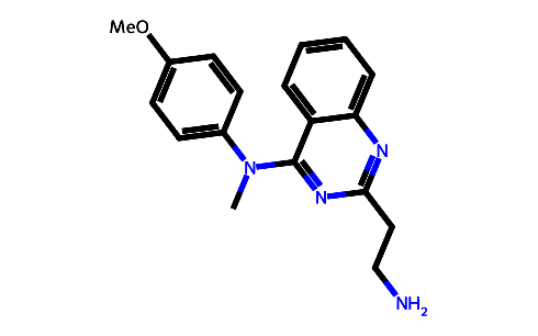 COc1ccc(N(C)c2nc(CCN)nc3ccccc23)cc1